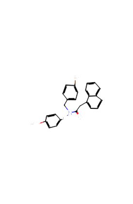 O=C(Cc1cccc2ccccc12)N(Cc1ccc(O)cc1)Cc1ccc(Br)cc1